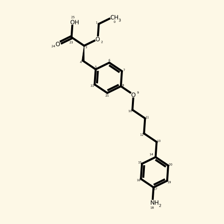 CCO[C@@H](Cc1ccc(OCCCCc2ccc(N)cc2)cc1)C(=O)O